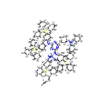 C#C/C=C\C(=C/C)S(c1ccccc1)(c1ccccc1)c1ccc2nc3n(-c4nc(-c5cccc(-n6c7ccccc7c7ccccc76)c5)nc(-n5c6ccc(S(c7ccccc7)(c7ccccc7)c7ccccc7)cc6c6cc(S(c7ccccc7)(c7ccccc7)c7ccccc7)ccc65)n4)c4ccc(S(c5ccccc5)(c5ccccc5)c5ccccc5)cc4n3c2c1